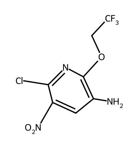 Nc1cc([N+](=O)[O-])c(Cl)nc1OCC(F)(F)F